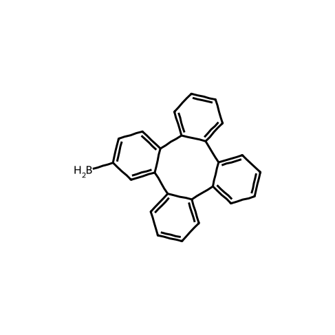 Bc1ccc2c(c1)-c1ccccc1-c1ccccc1-c1ccccc1-2